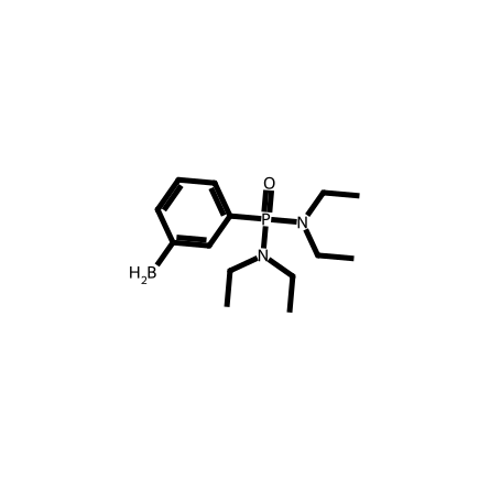 Bc1cccc(P(=O)(N(CC)CC)N(CC)CC)c1